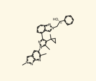 Cc1nc2nn(C)cc2cc1-n1nc(-c2cccc3nn(C[C@H](O)c4ccccc4)cc23)c(C2(C)CC2)c1C